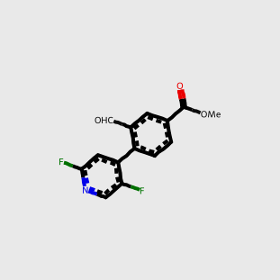 COC(=O)c1ccc(-c2cc(F)ncc2F)c(C=O)c1